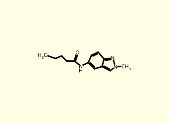 CCCCC(=O)Nc1ccc2nn(C)cc2c1